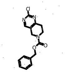 O=C(OCc1ccccc1)N1CCc2nc(Cl)ncc2C1